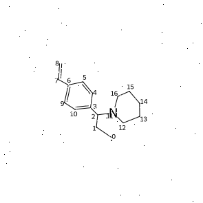 [CH2]CC(c1ccc(C=C)cc1)N1CCCCC1